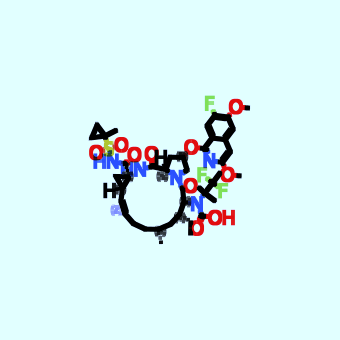 CC[C@@H]1C[C@H](C)CC/C=C\[C@@H]2C[C@@]2(C(=O)NS(=O)(=O)C2(C)CC2)NC(=O)[C@@H]2C[C@@H](Oc3nc(OC)cc4cc(OC)c(F)cc34)CN2C(=O)[C@H]1N(C(=O)O)C(C)(C)C(C)(F)F